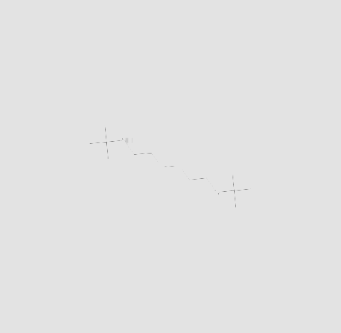 CC(C)(C)NCCSSCCNC(C)(C)C